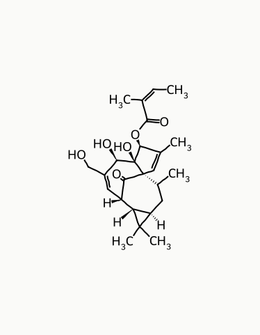 C/C=C(/C)C(=O)O[C@H]1C(C)=C[C@@]23C(=O)[C@@H](C=C(CO)[C@@H](O)[C@]12O)[C@@H]1[C@@H](CC3C)C1(C)C